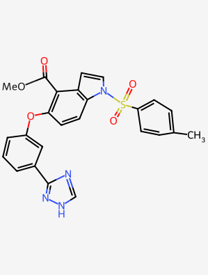 COC(=O)c1c(Oc2cccc(-c3nc[nH]n3)c2)ccc2c1ccn2S(=O)(=O)c1ccc(C)cc1